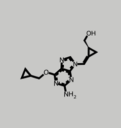 Nc1nc(OCC2CC2)c2ncn(/C=C3/C[C@@H]3CO)c2n1